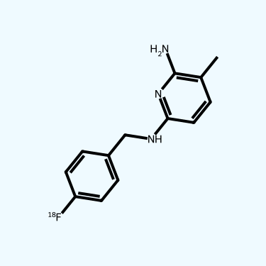 Cc1ccc(NCc2ccc([18F])cc2)nc1N